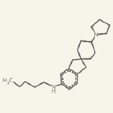 CCCCCNc1ccc2c(c1)CC1(CCC(N3CCCC3)CC1)C2